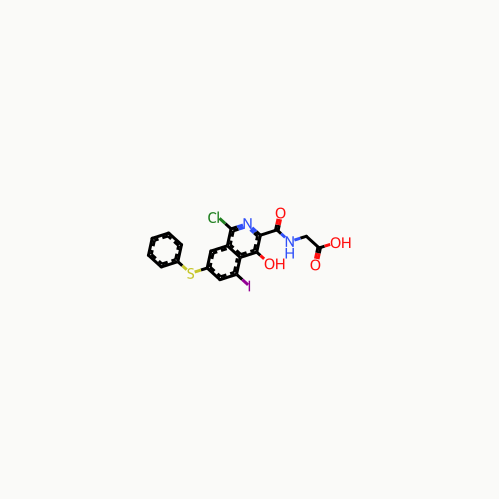 O=C(O)CNC(=O)c1nc(Cl)c2cc(Sc3ccccc3)cc(I)c2c1O